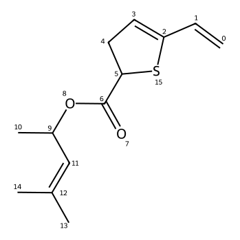 C=CC1=CCC(C(=O)OC(C)C=C(C)C)S1